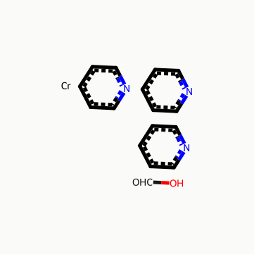 O=CO.[Cr].c1ccncc1.c1ccncc1.c1ccncc1